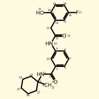 CC1(NC(=O)c2cccc(NC(=O)Cc3cc(F)ccc3O)c2)CCCCC1